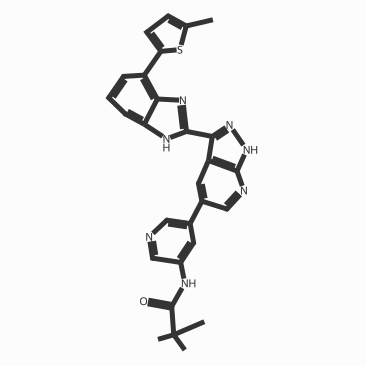 Cc1ccc(-c2cccc3[nH]c(-c4n[nH]c5ncc(-c6cncc(NC(=O)C(C)(C)C)c6)cc45)nc23)s1